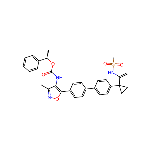 C=C(NS(C)(=O)=O)C1(c2ccc(-c3ccc(-c4onc(C)c4NC(=O)O[C@H](C)c4ccccc4)cc3)cc2)CC1